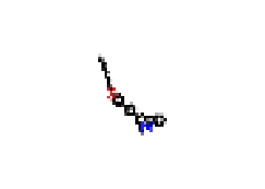 CCCCCCCCCOc1ccc(-c2ccc(C(CCCC)CCCC3(C#N)CCCCC3)cc2)cc1